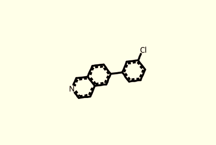 Clc1cccc(-c2ccc3cnccc3c2)c1